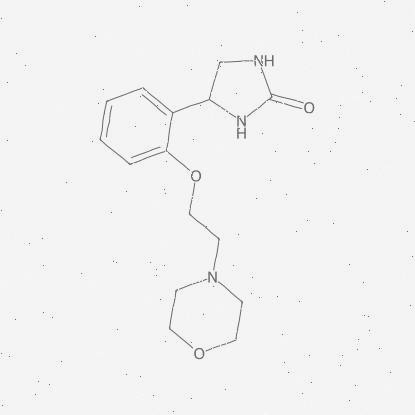 O=C1NCC(c2ccccc2OCCN2CCOCC2)N1